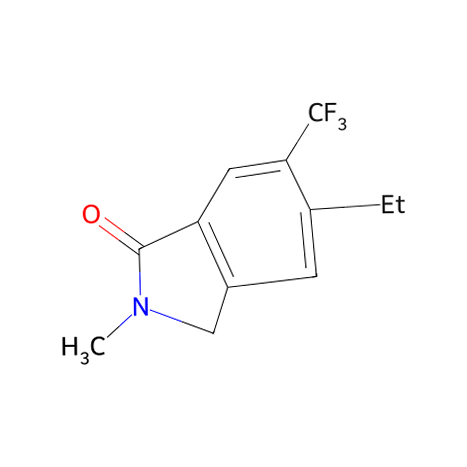 CCc1cc2c(cc1C(F)(F)F)C(=O)N(C)C2